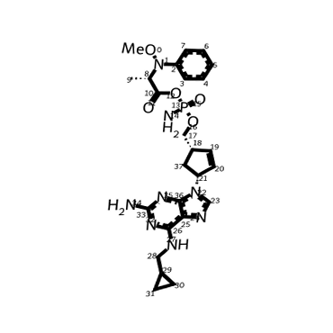 CON(c1ccccc1)[C@@H](C)C(=O)OP(N)(=O)OC[C@@H]1C=C[C@H](n2cnc3c(NCC4CC4)nc(N)nc32)C1